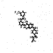 Cc1ccc(NC(=O)c2cccc(C(F)(F)F)c2)cc1N1CCc2nc(Nc3ccc(C(=O)NC4CC4)nc3)ncc2C1=O